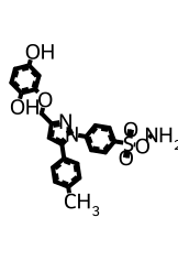 Cc1ccc(-c2cc(COc3cc(O)ccc3O)nn2-c2ccc(S(=O)(=O)ON)cc2)cc1